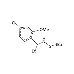 CCC(NSC(C)(C)C)c1ccc(Cl)cc1OC